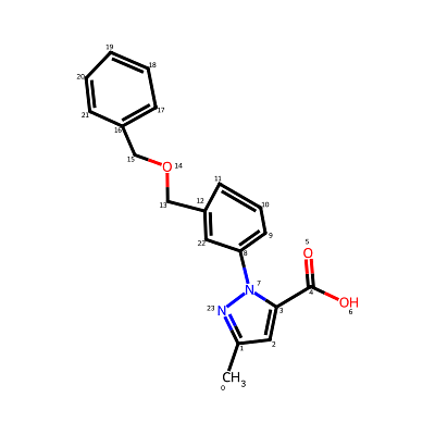 Cc1cc(C(=O)O)n(-c2cccc(COCc3ccccc3)c2)n1